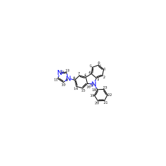 [c]1ccc2c(c1)c1cc(-n3ccnc3)ccc1n2-c1ccccc1